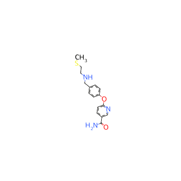 CSCCNCc1ccc(Oc2ccc(C(N)=O)cn2)cc1